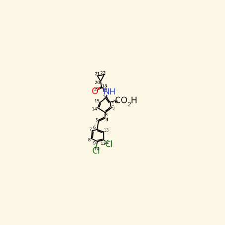 O=C(O)c1cc(C=Cc2ccc(Cl)c(Cl)c2)ccc1NC(=O)C1CC1